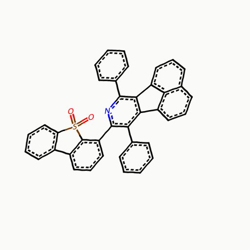 O=S1(=O)c2ccccc2-c2cccc(-c3nc(-c4ccccc4)c4c(c3-c3ccccc3)-c3cccc5cccc-4c35)c21